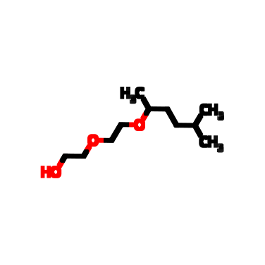 CC(C)CCC(C)OCCOCCO